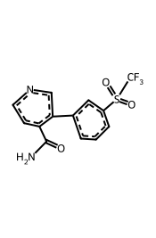 NC(=O)c1ccncc1-c1cccc(S(=O)(=O)C(F)(F)F)c1